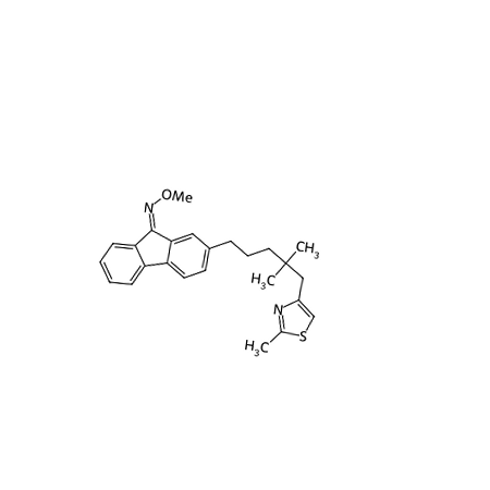 CO/N=C1/c2ccccc2-c2ccc(CCCC(C)(C)Cc3csc(C)n3)cc21